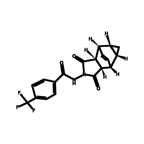 O=C(NN1C(=O)[C@@H]2[C@@H]3C=C[C@H]([C@@H]4C[C@H]34)[C@@H]2C1=O)c1ccc(C(F)(F)F)cc1